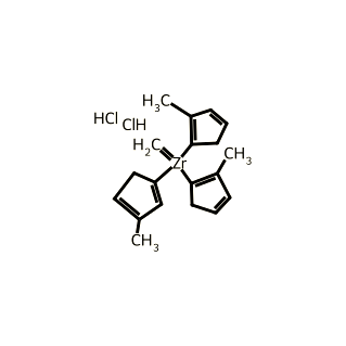 Cl.Cl.[CH2]=[Zr]([C]1=CC(C)=CC1)([C]1=C(C)C=CC1)[C]1=C(C)C=CC1